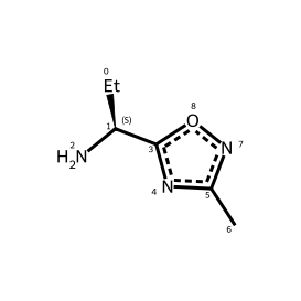 CC[C@H](N)c1nc(C)no1